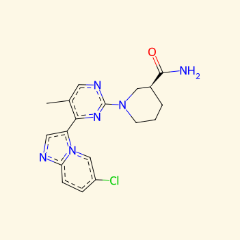 Cc1cnc(N2CCC[C@H](C(N)=O)C2)nc1-c1cnc2ccc(Cl)cn12